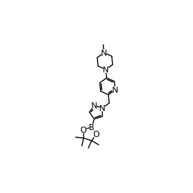 CN1CCN(c2ccc(Cn3cc(B4OC(C)(C)C(C)(C)O4)cn3)nc2)CC1